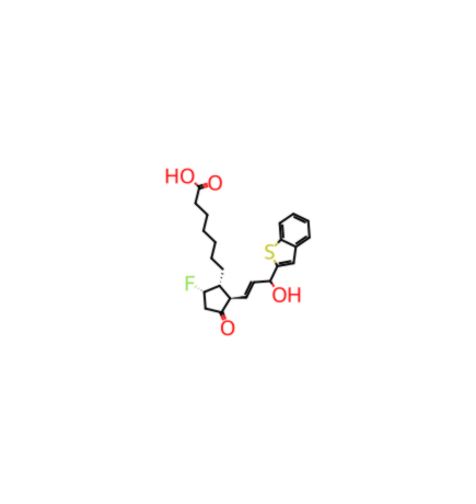 O=C(O)CCCCCC[C@H]1[C@@H](F)CC(=O)[C@@H]1C=CC(O)c1cc2ccccc2s1